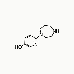 Oc1ccc(N2CCCNCC2)nc1